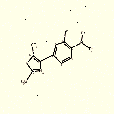 CCN(CC)c1ccc(-c2nc(C(C)(C)C)sc2C(F)(F)F)cc1C